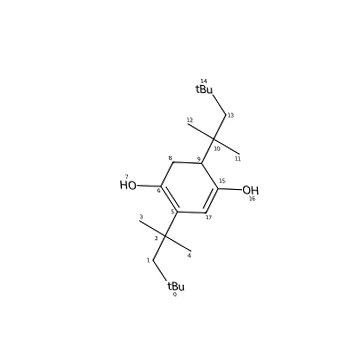 CC(C)(C)CC(C)(C)C1=C(O)CC(C(C)(C)CC(C)(C)C)C(O)=C1